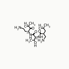 CC(C)CC(CN)C(=O)N[C@H](C(=O)N[C@@H](CCN)C(=O)C(C)C)C(C)O